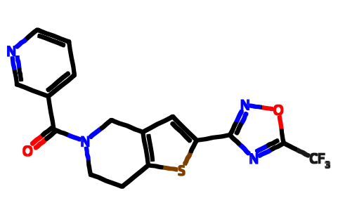 O=C(c1cccnc1)N1CCc2sc(-c3noc(C(F)(F)F)n3)cc2C1